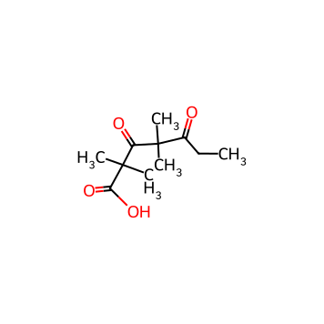 CCC(=O)C(C)(C)C(=O)C(C)(C)C(=O)O